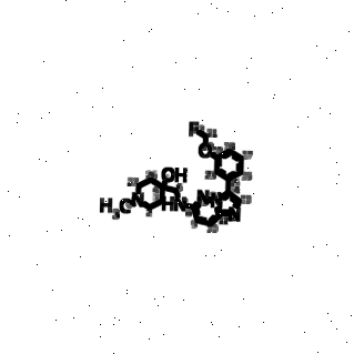 CN1CCC(O)(CNc2ccc3ncc(-c4cccc(OCF)c4)n3n2)CC1